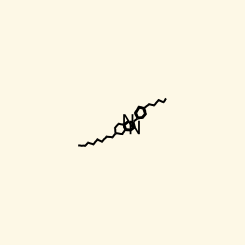 CCCCCCCCC1CCc2nc(-c3ccc(CCCCC)cc3)ncc2C1